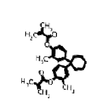 C=C(C)C(=O)Oc1ccc(C2(c3ccc(OC(=O)C(=C)C)c(C)c3)CCCCC2)cc1C